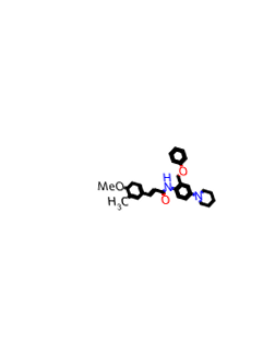 COC1CC=C(/C=C/C(=O)Nc2ccc(N3CCCCC3)cc2COc2ccccc2)C=C1C